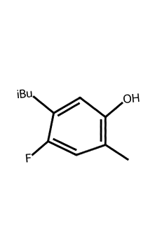 CCC(C)c1cc(O)c(C)cc1F